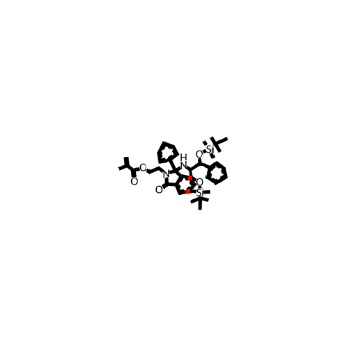 C=C(C)C(=O)OCCN1C(=O)c2ccccc2C1(NC(CO[Si](C)(C)C(C)(C)C)C(O[Si](C)(C)C(C)(C)C)c1ccccc1)c1ccccc1